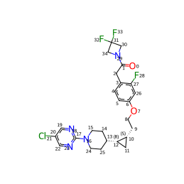 O=C(Cc1ccc(OCC[C@@H]2C[C@@H]2C2CCN(c3ncc(Cl)cn3)CC2)cc1F)N1CC(F)(F)C1